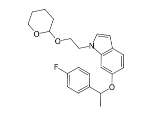 CC(Oc1ccc2ccn(CCOC3CCCCO3)c2c1)c1ccc(F)cc1